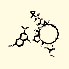 COc1ccc2c(O[C@@H]3C[C@H]4C(=O)N[C@]5(C(=O)NS(=O)(=O)C6(C)CC6)C[C@H]5/C=C\CC[C@H](C)C[C@@H](C)[C@H](NC(=O)OC(C)(C)C)C(=O)N4C3)nc(N(C)C)cc2c1